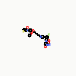 O=C1CCC(N2Cc3c(cc(F)cc3C3CCN(CCCCCCCOc4ccc(N5Cc6sccc6C5=O)cc4OC4CCCC4)CC3)C2=O)C(=O)N1